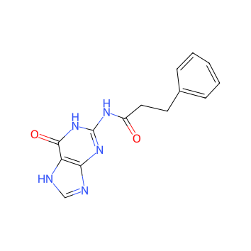 O=C(CCc1ccccc1)Nc1nc2nc[nH]c2c(=O)[nH]1